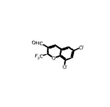 O=CC1=Cc2cc(Cl)cc(Cl)c2O[C@H]1C(F)(F)F